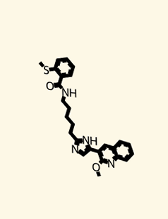 COc1nc2ccccc2cc1-c1cnc(CCCCCNC(=O)c2ccccc2SC)[nH]1